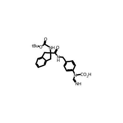 CC(C)(C)OC(=O)NC1(C(=O)NCc2ccc(N(C=N)C(=O)O)cc2)Cc2ccccc2C1